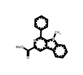 COC(=O)c1cc2c3ccccc3n(C)c2c(-c2ccccc2)n1